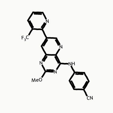 COc1nc(Nc2ccc(C#N)cc2)c2ncc(-c3ncccc3C(F)(F)F)cc2n1